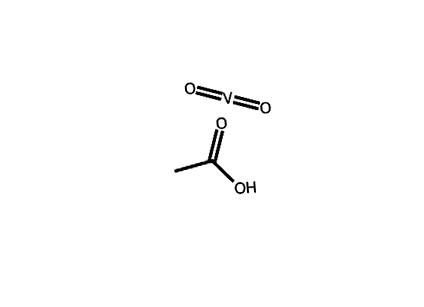 CC(=O)O.[O]=[V]=[O]